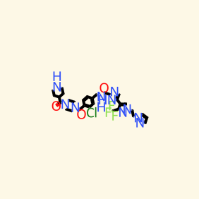 O=C(NCc1ccc(C(=O)N2CCN(C(=O)C3CCNCC3)CC2)c(Cl)c1)c1ncc(-c2cn(CCn3cccn3)nc2C(F)(F)F)[nH]1